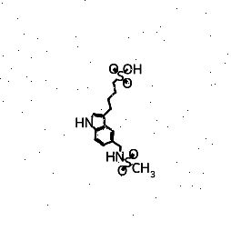 CS(=O)(=O)NCc1ccc2[nH]cc(CCCCS(=O)(=O)O)c2c1